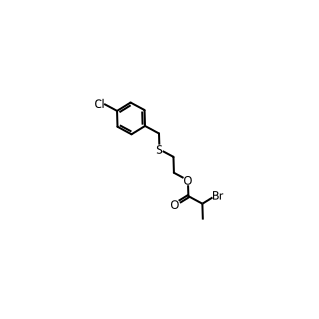 CC(Br)C(=O)OCCSCc1ccc(Cl)cc1